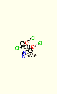 CSc1nccn1Cc1cccc(OCCCCl)c1C.Cc1c(CCl)cccc1OCCCCl